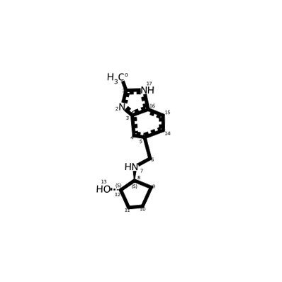 Cc1nc2cc(CN[C@H]3CCC[C@@H]3O)ccc2[nH]1